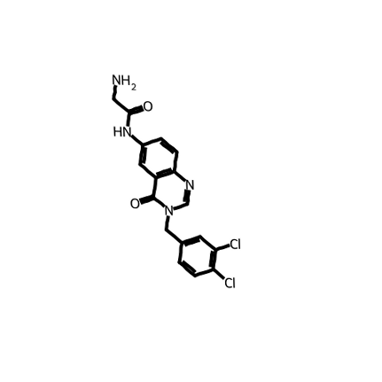 NCC(=O)Nc1ccc2ncn(Cc3ccc(Cl)c(Cl)c3)c(=O)c2c1